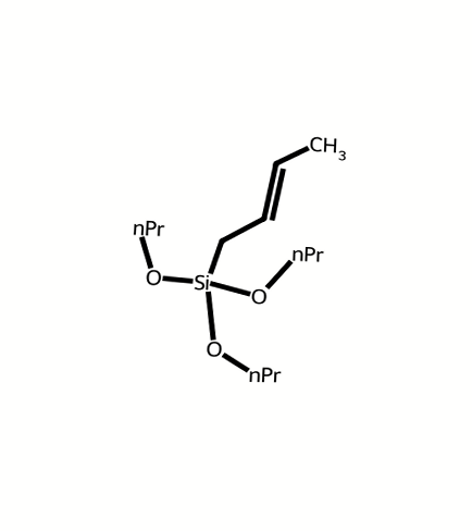 CC=CC[Si](OCCC)(OCCC)OCCC